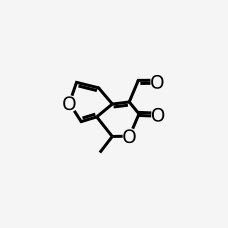 CC1OC(=O)C(C=O)=C2C=COC=C21